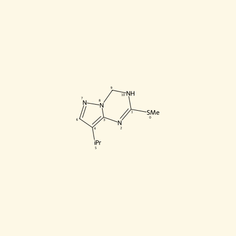 CSC1=Nc2c(C(C)C)cnn2CN1